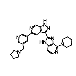 c1cc2[nH]c(-c3n[nH]c4cnc(-c5cncc(CN6CCCC6)c5)cc34)nc2c(N2CCCCC2)n1